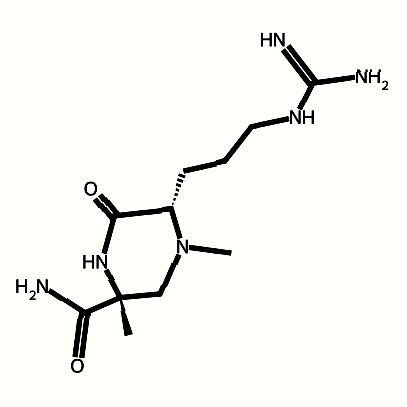 CN1C[C@](C)(C(N)=O)NC(=O)[C@@H]1CCCNC(=N)N